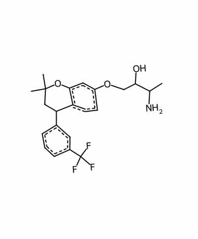 CC(N)C(O)COc1ccc2c(c1)OC(C)(C)CC2c1cccc(C(F)(F)F)c1